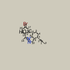 CC#Cc1ccc(C(=O)O)c2c1cnn2C(C)c1ccc(Br)cc1